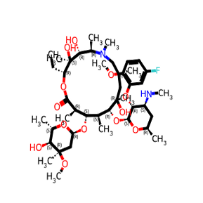 CC[C@H]1OC(=O)[C@H](C)[C@@H](O[C@H]2C[C@@](C)(OC)[C@@H](O)[C@H](C)O2)[C@H](C)[C@@H](O[C@@H]2O[C@H](C)C[C@H](NC)[C@H]2Oc2cc(F)ccc2OC)[C@](C)(O)C[C@@H](C)CN(C)[C@H](C)[C@@H](O)[C@]1(C)O